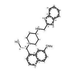 COc1ccc2nccc([C@H](CO)N3CCC(NCc4nc5ccccc5s4)CC3)c2c1